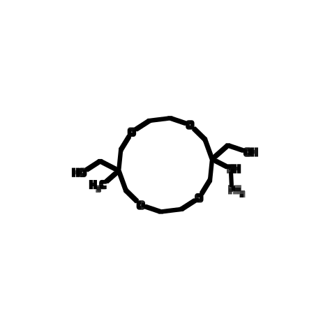 CC1(CO)COCCOCC(CO)(NP)COCCOC1